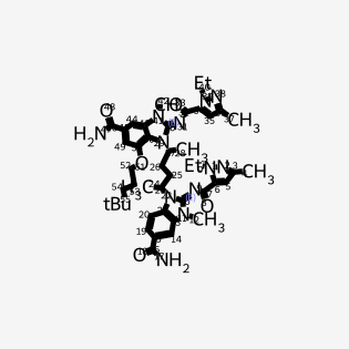 CCn1nc(C)cc1C(=O)/N=c1\n(C)c2cc(C(N)=O)ccc2n1C(C)CCC(C)n1/c(=N/C(=O)c2cc(C)nn2CC)n(C)c2cc(C(N)=O)cc(OCCCC(C)(C)C)c21